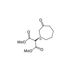 COC(=O)C(C(=O)OC)[C@@H]1CCCCC(=O)C1